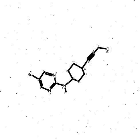 CN(c1ncc(Br)cn1)C1CCC(C#CCO)CC1